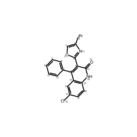 CC(C)c1coc(-c2c(-c3ccccc3)c3cc(Cl)ccc3[nH]c2=O)n1